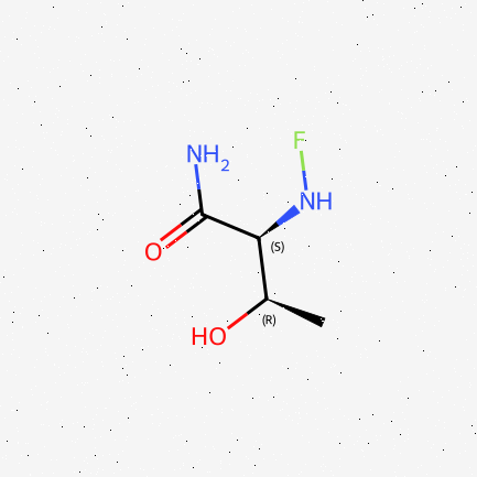 C[C@@H](O)[C@H](NF)C(N)=O